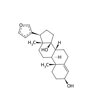 C[C@]12CC[C@H](O)C=C1CC[C@@H]1[C@@H]2CC[C@]2(C)[C@@H](c3ccoc3)CC[C@]12O